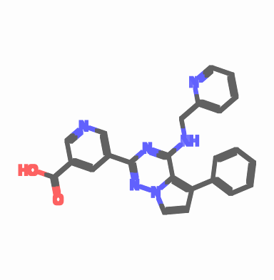 O=C(O)c1cncc(-c2nc(NCc3ccccn3)c3c(-c4ccccc4)ccn3n2)c1